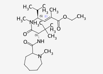 CCOC(=O)/C(C)=C/[C@H](C(C)C)N(C)C(=O)[C@@H](NC(=O)C1CCCCCN1C)C(C)(C)C